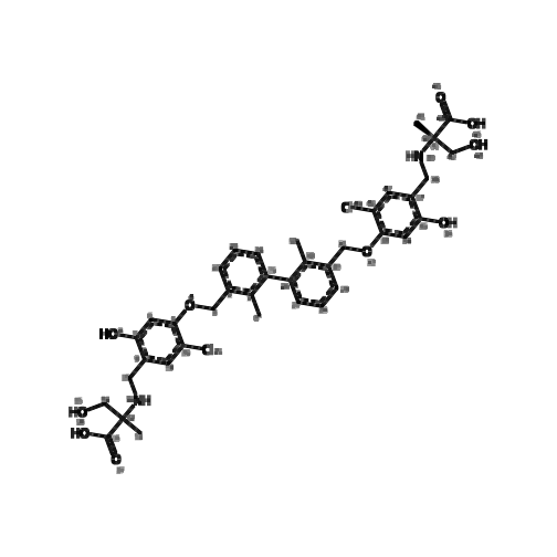 Cc1c(COc2cc(O)c(CNC(C)(CO)C(=O)O)cc2Cl)cccc1-c1cccc(COc2cc(O)c(CN[C@@](C)(CO)C(=O)O)cc2Cl)c1C